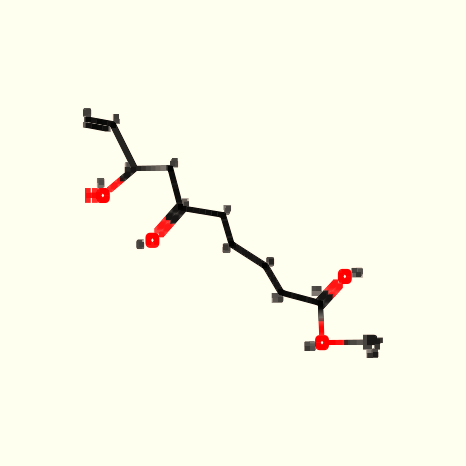 C=CC(O)CC(=O)CCCCC(=O)OC(C)C